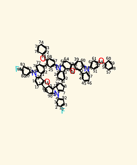 Fc1ccc(-n2c3ccccc3c3c4oc5c(ccc6c5c5cc(-c7cc(-n8c9ccccc9c9c%10oc%11c(ccc%12c%11c%11ccccc%11n%12-c%11ccc(Oc%12ccccc%12)cc%11)c%10ccc98)ccc7Oc7ccccc7)ccc5n6-c5ccc(F)cc5)c4ccc32)cc1